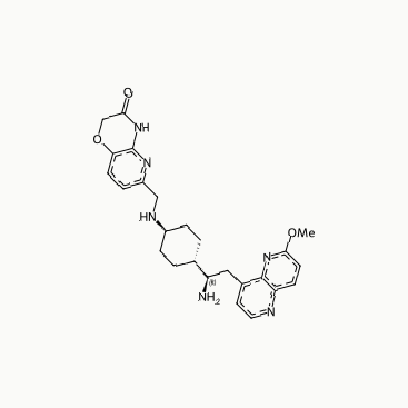 COc1ccc2nccc(C[C@@H](N)[C@H]3CC[C@H](NCc4ccc5c(n4)NC(=O)CO5)CC3)c2n1